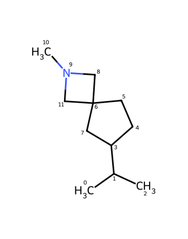 CC(C)C1CCC2(C1)CN(C)C2